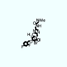 CNCC(=O)NCc1cnc(Cn2c(C)cc(OCc3ccc(F)cc3F)c(Br)c2=O)cn1.Cl